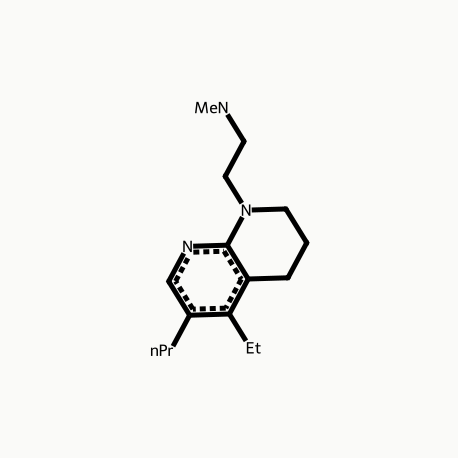 CCCc1cnc2c(c1CC)CCCN2CCNC